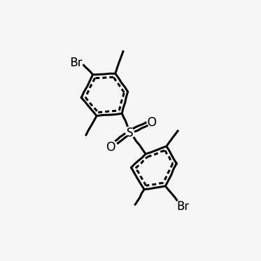 Cc1cc(S(=O)(=O)c2cc(C)c(Br)cc2C)c(C)cc1Br